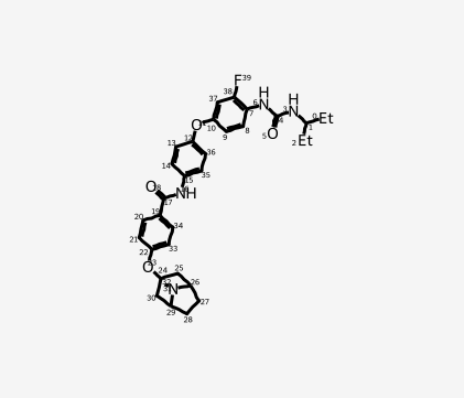 CCC(CC)NC(=O)Nc1ccc(Oc2ccc(NC(=O)c3ccc(OC4CC5CCC(C4)N5C)cc3)cc2)cc1F